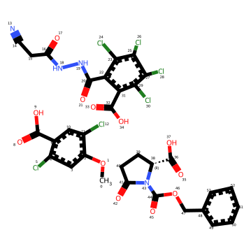 COc1cc(Cl)c(C(=O)O)cc1Cl.N#CCC(=O)NNC(=O)c1c(Cl)c(Cl)c(Cl)c(Cl)c1C(=O)O.O=C(O)[C@H]1CCC(=O)N1C(=O)OCc1ccccc1